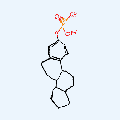 O=P(O)(O)Oc1ccc2c(c1)CCC1C2CCC2CCCC21